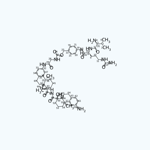 CC(C)[C@H](N)C(=O)N[C@@H](CCCNC(N)=O)C(=O)Nc1ccc(COC(=O)NCC(=O)Nc2ccc3c(c2)[C@@]2(C)CCC[C@](C)(C(=O)NC(=O)[C@@]4(C)CCC[C@]5(C)c6cc(N)ccc6CC[C@@H]45)[C@@H]2CC3)cc1